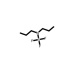 CCCN(CCC)S(F)(F)F